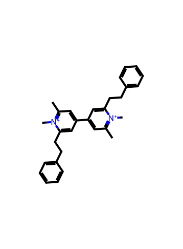 Cc1cc(-c2cc(C)[n+](C)c(CCc3ccccc3)c2)cc(CCc2ccccc2)[n+]1C